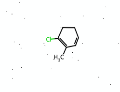 CC1=C(Cl)[CH]CC=C1